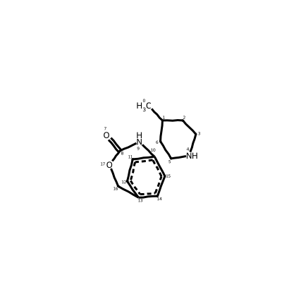 CC1CCNCC1.O=C1Nc2ccc(cc2)CO1